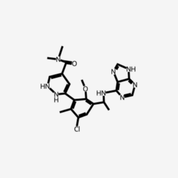 COc1c(C(C)Nc2ncnc3[nH]cnc23)cc(Cl)c(C)c1C1=CC(C(=O)N(C)C)=CNN1